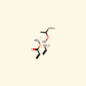 C=CC(=O)O.C=CC(=O)OCCCC.CCCCCCC(C)ON=O